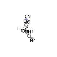 CC(C)(C(=O)NCc1ccc(-n2cccn2)cc1)c1ccc(S(=O)(=O)/C=C/C#N)cc1